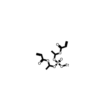 C=CC(=O)OC(C)OP(=O)(OCC)OC(C)OC(=O)C=C